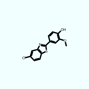 COc1cc(-c2nc3cc(Cl)ccc3s2)ccc1O